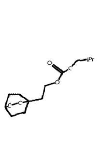 CC(C)CCC(=O)OCCC12CCC(CC1)CC2